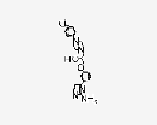 Nc1nccc(-c2cccc(OCC(O)CN3CCN(c4ccc(Cl)cc4)CC3)c2)n1